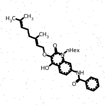 CCCCCCn1c(=O)c(OC/C=C(\C)CCC=C(C)C)c(O)c2ccc(NC(=O)c3ccccc3)cc21